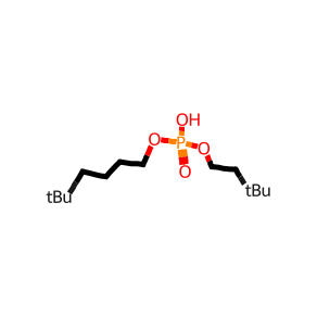 CC(C)(C)CCCCOP(=O)(O)OCCC(C)(C)C